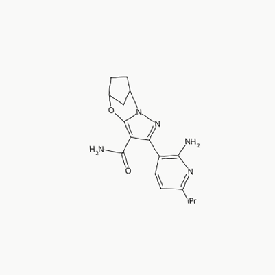 CC(C)c1ccc(-c2nn3c(c2C(N)=O)OC2CCC3C2)c(N)n1